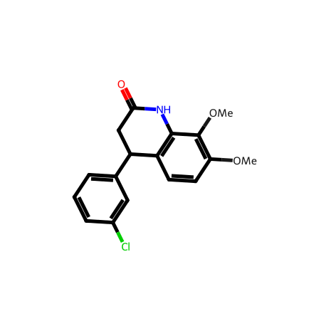 COc1ccc2c(c1OC)NC(=O)CC2c1cccc(Cl)c1